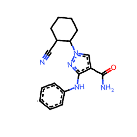 N#CC1CCCCC1n1cc(C(N)=O)c(Nc2cc[c]cc2)n1